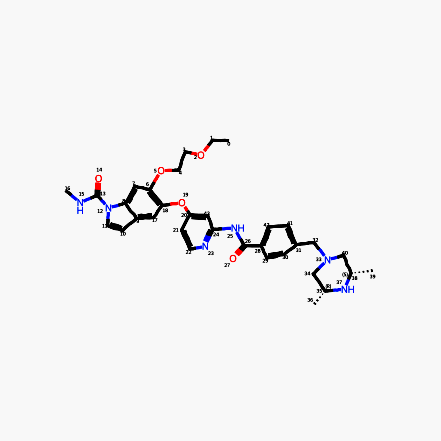 CCOCCOc1cc2c(ccn2C(=O)NC)cc1Oc1ccnc(NC(=O)c2ccc(CN3C[C@@H](C)N[C@@H](C)C3)cc2)c1